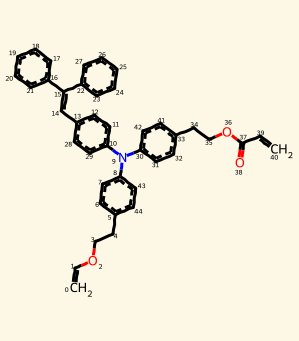 C=COCCc1ccc(N(c2ccc(C=C(c3ccccc3)c3ccccc3)cc2)c2ccc(CCOC(=O)C=C)cc2)cc1